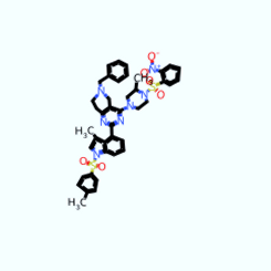 Cc1ccc(S(=O)(=O)n2cc(C)c3c(-c4nc5c(c(N6CCN(S(=O)(=O)c7ccccc7[N+](=O)[O-])C(C)C6)n4)CN(Cc4ccccc4)CC5)cccc32)cc1